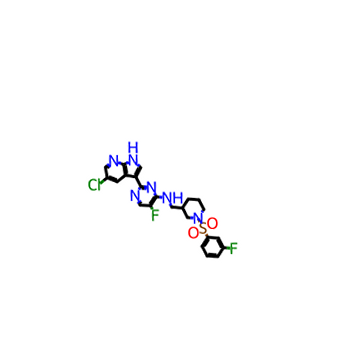 O=S(=O)(c1cccc(F)c1)N1CCCC(CNc2nc(-c3c[nH]c4ncc(Cl)cc34)ncc2F)C1